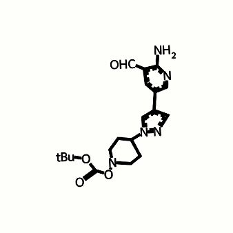 CC(C)(C)OC(=O)ON1CCC(n2cc(-c3cnc(N)c(C=O)c3)cn2)CC1